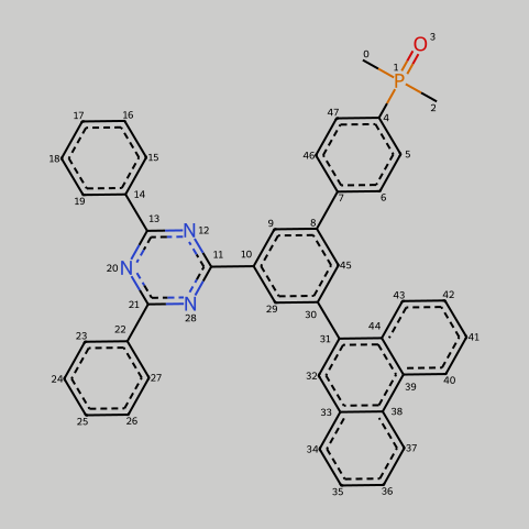 CP(C)(=O)c1ccc(-c2cc(-c3nc(-c4ccccc4)nc(-c4ccccc4)n3)cc(-c3cc4ccccc4c4ccccc34)c2)cc1